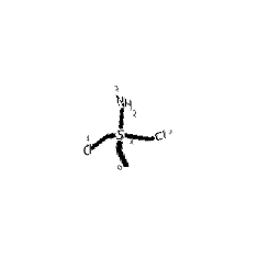 CS(N)(Cl)Cl